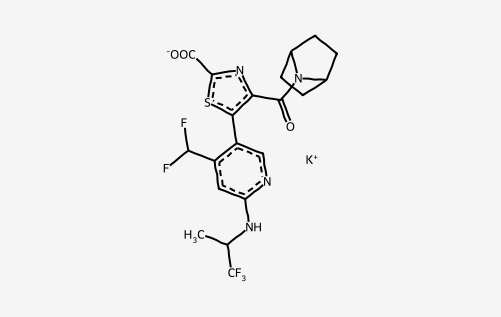 CC(Nc1cc(C(F)F)c(-c2sc(C(=O)[O-])nc2C(=O)N2C3CCC2CC3)cn1)C(F)(F)F.[K+]